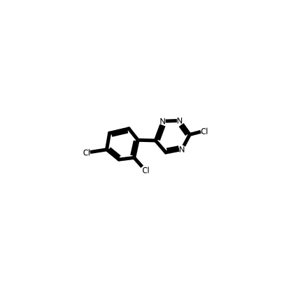 Clc1ccc(-c2cnc(Cl)nn2)c(Cl)c1